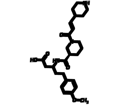 COc1ccc(CCC(CC(=O)O)NC(=O)[C@@H]2CCCN(C(=O)/C=C/C3CCNCC3)C2)cc1